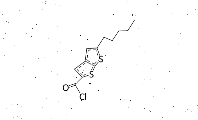 CCCCCc1cc2cc(C(=O)Cl)sc2s1